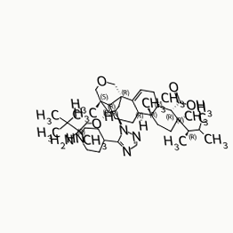 CC(C)[C@@H](C)[C@@]1(C)CC[C@]2(C)[C@H]3CC[C@@H]4[C@@]5(COC[C@@]4(C)[C@@H](OC[C@](C)(N)C(C)(C)C)[C@H](n4ncnc4C4CCNCC4)C5)C3=CC[C@@]2(C)[C@@H]1C(=O)O